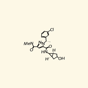 CNC(=O)c1cc(C(=O)NC2[C@H]3CC(O)C[C@@H]23)n([C@@H](C)c2cccc(Cl)c2)n1